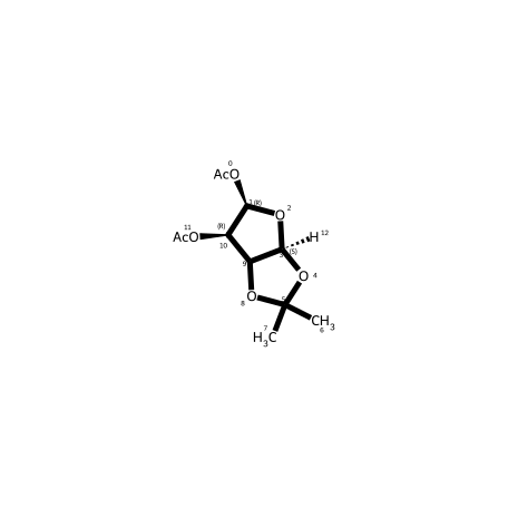 CC(=O)O[C@H]1O[C@H]2OC(C)(C)OC2[C@H]1OC(C)=O